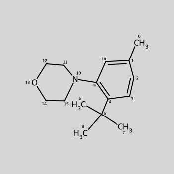 Cc1ccc(C(C)(C)C)c(N2CCOCC2)c1